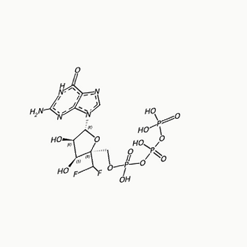 Nc1nc2c(ncn2[C@@H]2O[C@@](COP(=O)(O)OP(=O)(O)OP(=O)(O)O)(C(F)F)[C@@H](O)[C@H]2O)c(=O)[nH]1